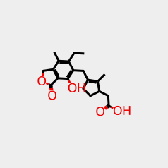 CCc1c(C)c2c(c(O)c1CC1=C(C)C(CC(=O)O)CC1)C(=O)OC2